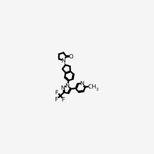 Cc1ccc(-c2cc(C(F)(F)F)nn2-c2ccc3c(c2)C[C@H](N2CCCC2=O)C3)cn1